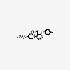 CCOC(=O)C1CCN(c2ncnc(Oc3ccc(C)cc3)c2[N+](=O)[O-])CC1